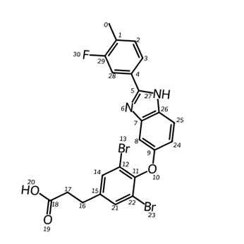 Cc1ccc(-c2nc3cc(Oc4c(Br)cc(CCC(=O)O)cc4Br)ccc3[nH]2)cc1F